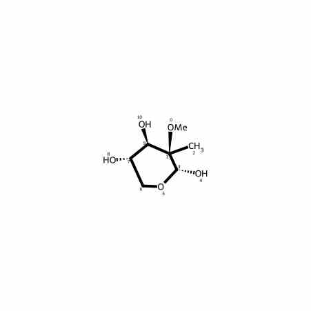 CO[C@@]1(C)[C@H](O)OC[C@H](O)[C@H]1O